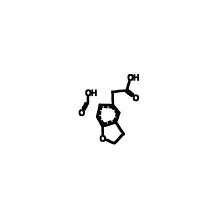 O=C(O)Cc1ccc2c(c1)CCO2.O=CO